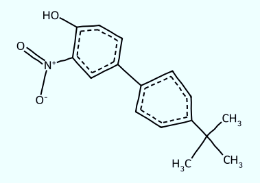 CC(C)(C)c1ccc(-c2ccc(O)c([N+](=O)[O-])c2)cc1